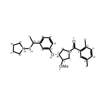 COC1CN(C(=O)c2cc(C)ccc2C)C[C@H]1Oc1cccc(C(C)SN2CCCC2)c1